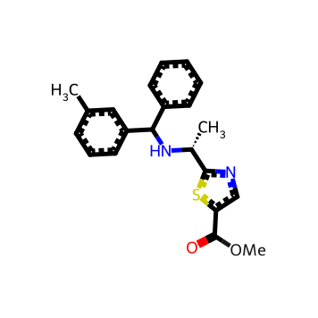 COC(=O)c1cnc([C@@H](C)NC(c2ccccc2)c2cccc(C)c2)s1